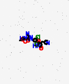 CCOC(=O)NC(=O)C(C#N)=NNc1cc(Cl)c(Oc2c[nH]c(=O)cc2Cc2ccncc2)c(Cl)c1